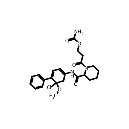 NC(=O)OCCC(=O)N1CCCCC1C(=O)NC1=CC=C(c2ccccc2)C(Cl)(OC(F)(F)F)C1